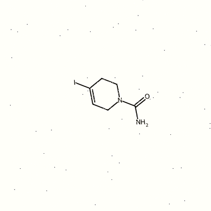 NC(=O)N1CC=C(I)CC1